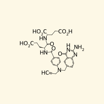 C#CCN(Cc1ccc2nc(N)[nH]c(=O)c2c1)c1ccc(C(=O)N[C@@H](CCC(=O)O)C(=O)N[C@@H](CCC(=O)O)C(=O)O)cc1